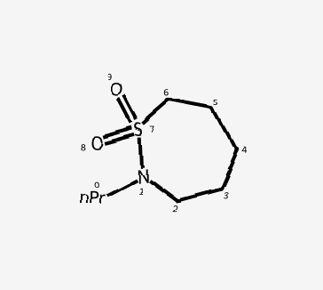 CCCN1CCCCCS1(=O)=O